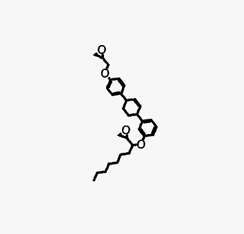 CCCCCCCC(Oc1cccc(C2C=CC(c3ccc(OCC4CO4)cc3)CC2)c1)C1CO1